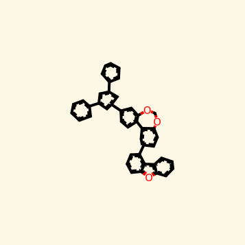 c1ccc(-c2cc(-c3ccccc3)cc(-c3ccc4c(c3)OCOc3ccc(-c5cccc6oc7ccccc7c56)cc3-4)c2)cc1